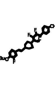 CCCCOc1ccc(/C=C/C2CCC(c3ccc(-c4ccc(C)cc4)c(F)c3F)CC2)cc1F